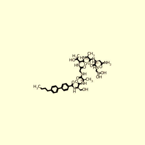 CCCCc1ccc(-c2ccc(C(=O)N[C@H](CO)C(=O)N[C@H](C)C(=O)NCC(=O)N[C@H](C(=O)N[C@@H](C)C(=O)N[C@@H](CC(N)=O)C(=O)NCB(O)O)C(C)O)cc2)cc1